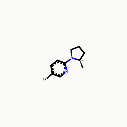 CC(C)c1ccc(N2CCC[C@H]2C)nc1